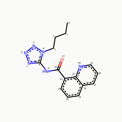 CCCCn1nnnc1NC(=O)c1cccc2cccnc12